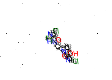 O=C(NC1CCC(CN2C(=O)C(O)(c3cncc(Cl)c3)c3ccccc32)CC1)c1cc(Cl)cnc1C(F)F